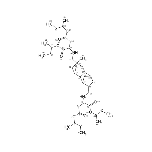 CCC(C)OC(=O)CC(NCC1CC2CC1C1C3CC(C21)C(C)(CNC(CC(=O)OC(C)CC)C(=O)OC(C)CC)C3)C(=O)OC(C)CC